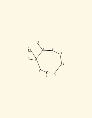 CC1CCCCCCC1(C)Cl